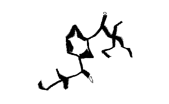 CCC(C)(C)C(=O)c1cccc(C(=O)C(C)(CC)CC)c1